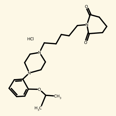 CC(C)Oc1ccccc1N1CCN(CCCCCN2C(=O)CCCC2=O)CC1.Cl